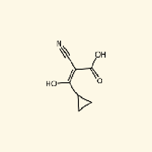 N#CC(C(=O)O)=C(O)C1CC1